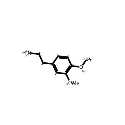 COc1cc(CCN)ccc1OC(C)C